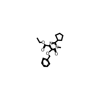 CCOC(=O)c1nc(C2CCCC2)n(C)c(=O)c1OCc1ccccc1